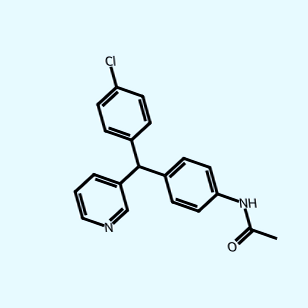 CC(=O)Nc1ccc(C(c2ccc(Cl)cc2)c2cccnc2)cc1